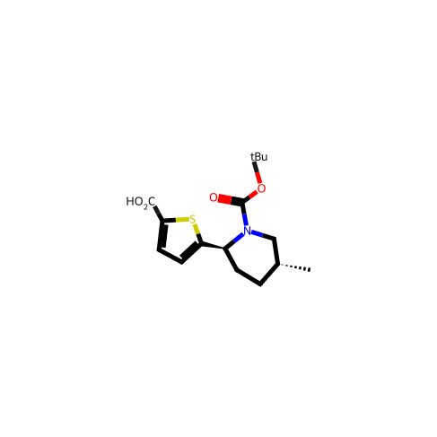 C[C@@H]1CC[C@@H](c2ccc(C(=O)O)s2)N(C(=O)OC(C)(C)C)C1